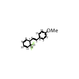 COc1ccc(C=CC2C=CC=CC2(F)F)cc1